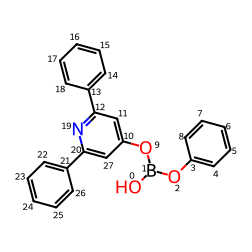 OB(Oc1ccccc1)Oc1cc(-c2ccccc2)nc(-c2ccccc2)c1